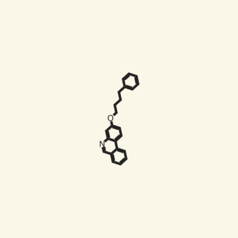 c1ccc(CCCCOc2ccc3c(c2)ncc2ccccc23)cc1